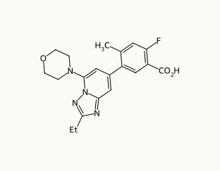 CCc1nc2cc(-c3cc(C(=O)O)c(F)cc3C)cc(N3CCOCC3)n2n1